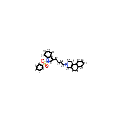 O=S(=O)(c1ccccc1)n1cc(CCCCN2CCC3=C(CCc4ccccc43)C2)c2ccccc21